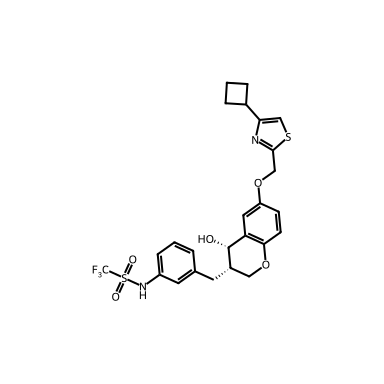 O=S(=O)(Nc1cccc(C[C@H]2COc3ccc(OCc4nc(C5CCC5)cs4)cc3[C@H]2O)c1)C(F)(F)F